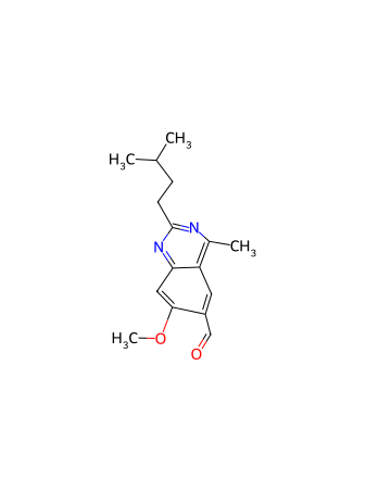 COc1cc2nc(CCC(C)C)nc(C)c2cc1C=O